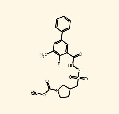 Cc1cc(-c2ccccc2)cc(C(=O)NNS(=O)(=O)CC2CCN(C(=O)OC(C)(C)C)C2)c1F